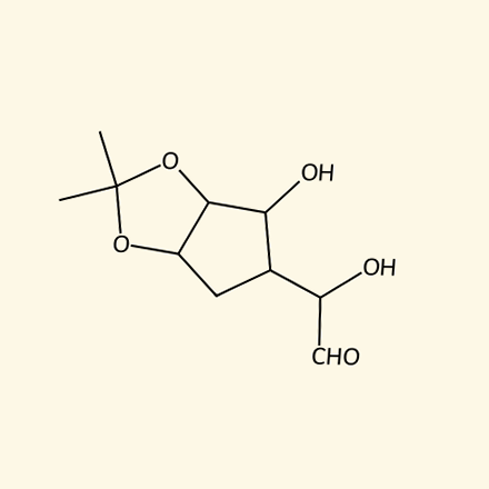 CC1(C)OC2CC(C(O)C=O)C(O)C2O1